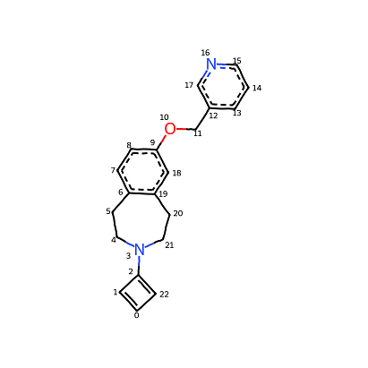 C1=CC(N2CCc3ccc(OCc4cccnc4)cc3CC2)=C1